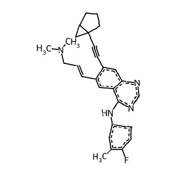 Cc1cc(Nc2ncnc3cc(C#CC45CCCC4C5)c(/C=C/CN(C)C)cc23)ccc1F